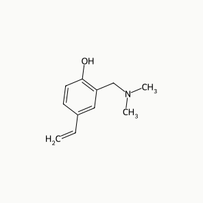 C=Cc1ccc(O)c(CN(C)C)c1